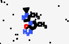 Cc1cc(N)c(=O)n(-c2cnn(C3CC3)c2C)c1